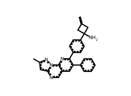 C=C1CC(N)(c2ccc(-c3nc4c(cnc5cc(C)nn54)cc3-c3ccccc3)cc2)C1